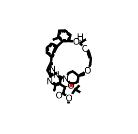 COC(=O)[C@@H](OC(C)(C)C)c1c(C)nc2cc3nn2c1N1CCC(C)(CC1)OCC=CC[C@H](C)Oc1cccc(C)c1-c1cccc-3c1